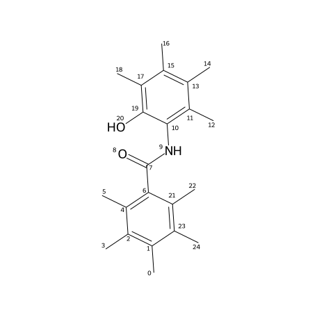 Cc1c(C)c(C)c(C(=O)Nc2c(C)c(C)c(C)c(C)c2O)c(C)c1C